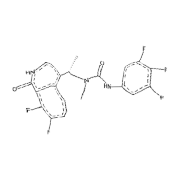 C[C@@H](c1c[nH]c(=O)c2c(F)c(F)ccc12)N(C)C(=O)Nc1cc(F)c(F)c(F)c1